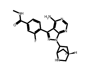 CNC(=O)c1ccc(-c2nn(C3C[C@@H]4CNC3C4)c3ncnc(N)c23)c(F)c1